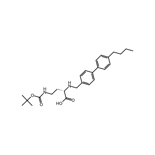 CCCCc1ccc(-c2ccc(CN[C@@H](CCNC(=O)OC(C)(C)C)C(=O)O)cc2)cc1